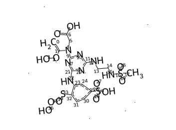 C=C(OO)N(CC(=O)O)c1nc(NCCNS(C)(=O)=O)nc(Nc2cc(S(=O)(=O)O)ccc2SOOO)n1